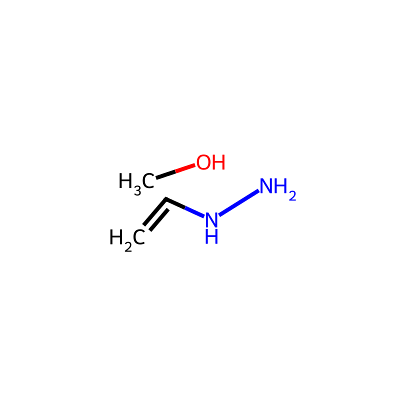 C=CNN.CO